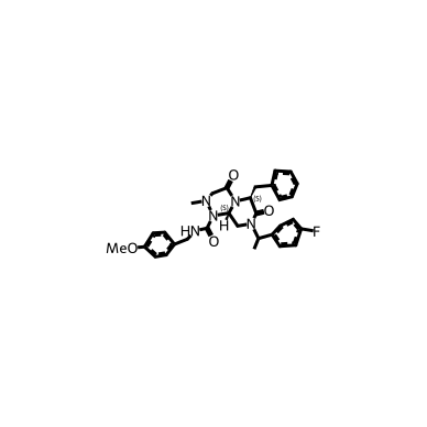 COc1ccc(CNC(=O)N2[C@H]3CN(C(C)c4ccc(F)cc4)C(=O)[C@H](Cc4ccccc4)N3C(=O)CN2C)cc1